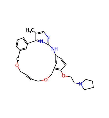 Cc1cnc2nc1-c1cccc(c1)COC/C=C/COCc1cc(ccc1OCCN1CCCC1)N2